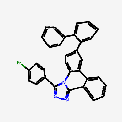 Brc1ccc(-c2nnc3c4ccccc4c4cc(-c5ccccc5-c5ccccc5)ccc4n23)cc1